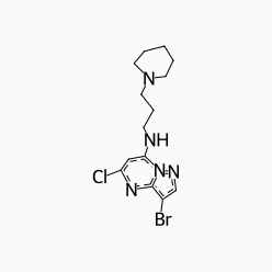 Clc1cc(NCCCN2CCCCC2)n2ncc(Br)c2n1